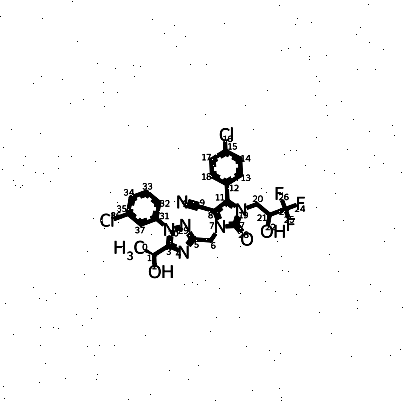 C[C@H](O)c1nc(Cn2c(C#N)c(-c3ccc(Cl)cc3)n(CC(O)C(F)(F)F)c2=O)nn1-c1cccc(Cl)c1